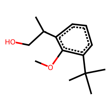 COc1c([C](C)CO)cccc1C(C)(C)C